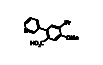 COc1cc(C(=O)O)c(-c2cccnc2)cc1C(C)C